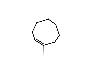 CC1=CCCCCCC1